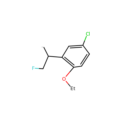 [CH2]C(CF)c1cc(Cl)ccc1OCC